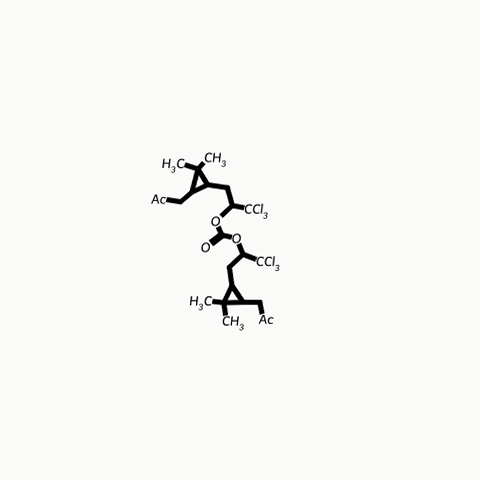 CC(=O)CC1C(CC(OC(=O)OC(CC2C(CC(C)=O)C2(C)C)C(Cl)(Cl)Cl)C(Cl)(Cl)Cl)C1(C)C